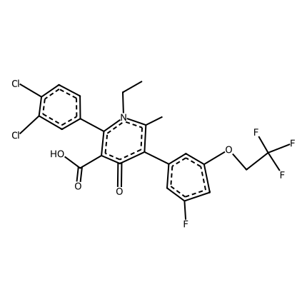 CCn1c(C)c(-c2cc(F)cc(OCC(F)(F)F)c2)c(=O)c(C(=O)O)c1-c1ccc(Cl)c(Cl)c1